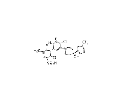 Cn1cc(C(=O)O)c(=O)c2c3cc(N4CCC(O)(c5cccc(C(F)(F)F)c5)CC4)c(Cl)c(F)c3ncc21